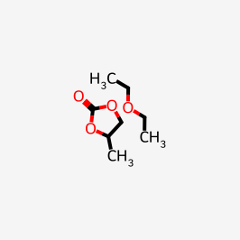 CC1COC(=O)O1.CCOCC